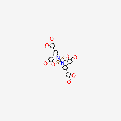 COc1cc(-c2cccc(-c3ccc(C=O)c(OC)c3-c3nc4sc(-c5c(-c6cccc(-c7ccc(C=O)c(OC)c7)c6)ccc(C=O)c5OC)nc4s3)c2)ccc1C=O